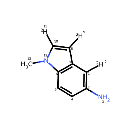 [2H]c1c(N)ccc2c1c([2H])c([2H])n2C